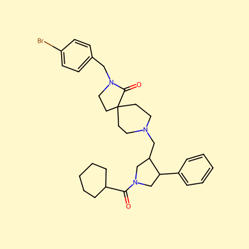 O=C(C1CCCCC1)N1CC(CN2CCC3(CC2)CCN(Cc2ccc(Br)cc2)C3=O)C(c2ccccc2)C1